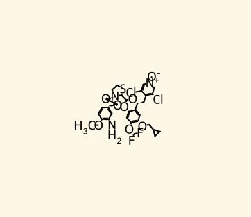 COc1ccc(S(=O)(=O)N2CCSC2C(=O)O[C@@H](Cc2c(Cl)c[n+]([O-])cc2Cl)c2ccc(OC(F)F)c(OCC3CC3)c2)cc1N